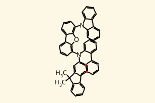 CC1(C)c2ccccc2-c2ccc(N(c3ccccc3-c3ccccc3)c3cccc4c3oc3c(-n5c6ccccc6c6ccccc65)cccc34)cc21